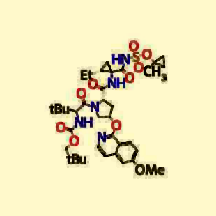 CC[C@@H]1C[C@]1(NC(=O)[C@@H]1CC(Oc2nccc3cc(OC)ccc23)CN1C(=O)[C@@H](NC(=O)OCC(C)(C)C)C(C)(C)C)C(=O)NS(=O)(=O)OC1(C)CC1